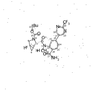 CN(C(=O)[C@@H]1[C@H]2C[C@H]2CN1C(=O)OC(C)(C)C)c1cc(-c2cnc(C(F)(F)F)nc2)ccc1C(N)=O